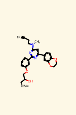 C#CCCN(C)c1cc(-c2ccc3c(c2)OCCO3)nc(-c2cccc(OCC(O)CNC)c2)n1